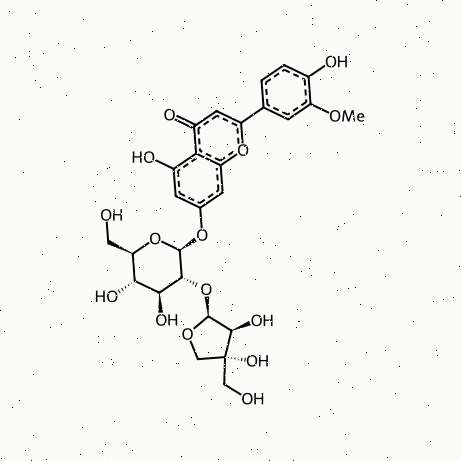 COc1cc(-c2cc(=O)c3c(O)cc(O[C@@H]4O[C@H](CO)[C@@H](O)[C@H](O)[C@H]4O[C@@H]4OC[C@](O)(CO)[C@@H]4O)cc3o2)ccc1O